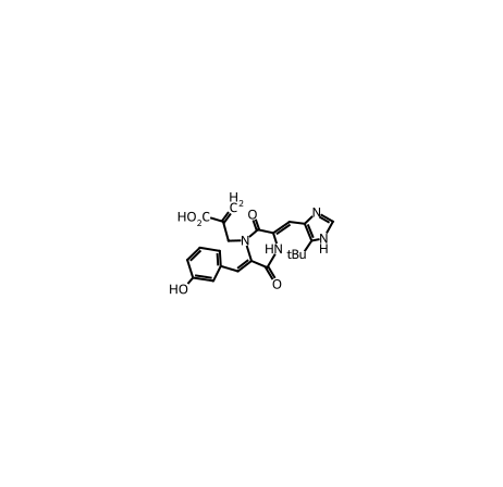 C=C(Cn1c(=O)/c(=C/c2nc[nH]c2C(C)(C)C)[nH]c(=O)/c1=C/c1cccc(O)c1)C(=O)O